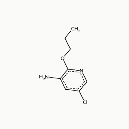 CCCOc1ncc(Cl)cc1N